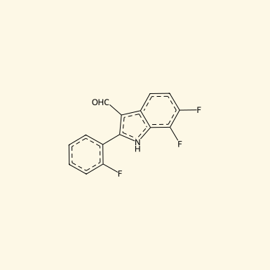 O=Cc1c(-c2ccccc2F)[nH]c2c(F)c(F)ccc12